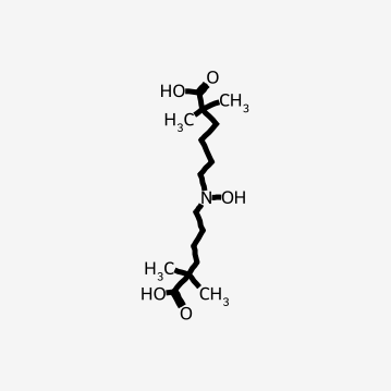 CC(C)(CCCCN(O)CCCCC(C)(C)C(=O)O)C(=O)O